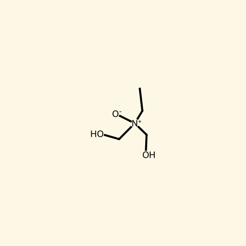 CC[N+]([O-])(CO)CO